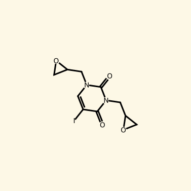 O=c1c(I)cn(CC2CO2)c(=O)n1CC1CO1